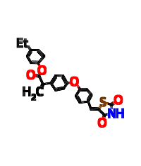 C=C(C(=O)Oc1ccc(CC)cc1)c1ccc(Oc2ccc(/C=C3\SC(=O)NC3=O)cc2)cc1